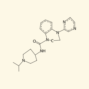 CC(C)N1CCC(NC(=O)N2CCN(c3cnccn3)c3ccccc32)CC1